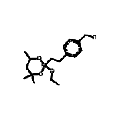 CCO[Si]1(CCc2ccc(CCl)cc2)OC(C)CC(C)(C)O1